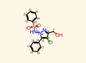 O=S(=O)(Nn1nc(CO)c(Cl)c1-c1ccccc1)c1ccccc1